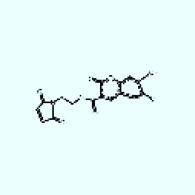 O=C(NCCN1C(=O)C=CC1=O)c1cc2cc(Cl)c(O)cc2oc1=O